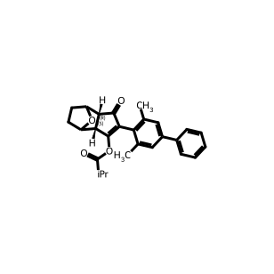 Cc1cc(-c2ccccc2)cc(C)c1C1=C(OC(=O)C(C)C)[C@@H]2C3CCC(O3)[C@@H]2C1=O